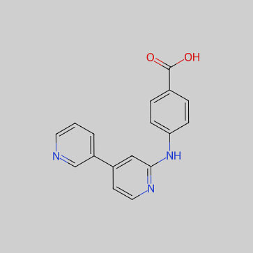 O=C(O)c1ccc(Nc2cc(-c3cccnc3)ccn2)cc1